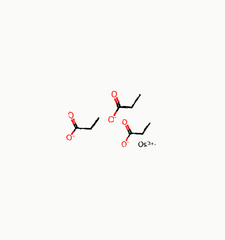 CCC(=O)[O-].CCC(=O)[O-].CCC(=O)[O-].[Os+3]